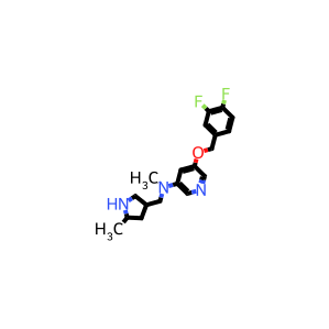 CC1CC(CN(C)c2cncc(OCc3ccc(F)c(F)c3)c2)CN1